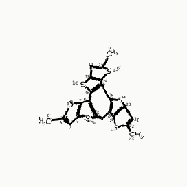 Cc1cc2sc3c(c2s1)c1sc2cc(C)sc2c1c1sc2cc(C)sc2c31